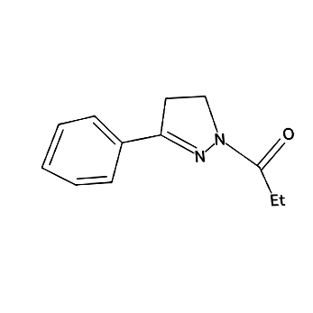 CCC(=O)N1CCC(c2ccccc2)=N1